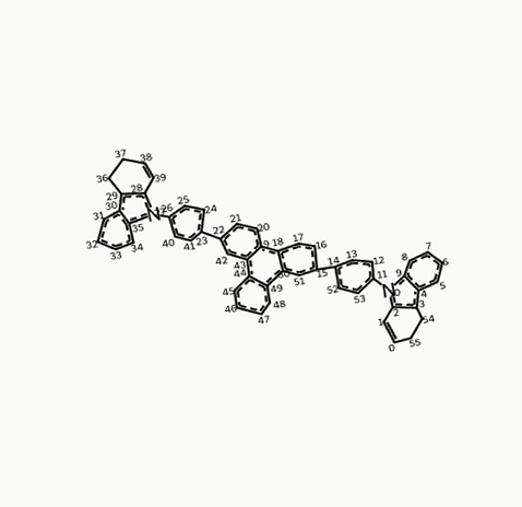 C1=Cc2c(c3ccccc3n2-c2ccc(-c3ccc4c5ccc(-c6ccc(-n7c8c(c9ccccc97)CCC=C8)cc6)cc5c5ccccc5c4c3)cc2)CC1